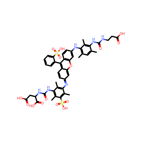 Cc1cc(C)c(Nc2ccc3c(-c4ccccc4S(=O)(=O)O)c4cc/c(=N\c5c(C)c(NC(=O)NC(CC(=O)O)C(=O)O)c(C)c(S(=O)(=O)O)c5C)cc-4oc3c2)c(C)c1NC(=O)NCCC(=O)O